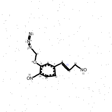 [N-]=[N+]=NCOc1cc(/C=C/CN=O)ccc1N=O